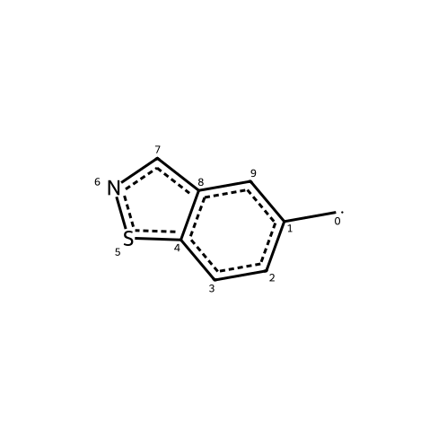 [CH2]c1ccc2sncc2c1